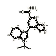 CC(C)n1cc(-c2cc(C(N)=O)nc3[nH]ncc23)c2ccccc21